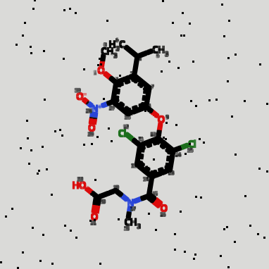 COc1c(C(C)C)cc(Oc2c(Cl)cc(C(=O)N(C)CC(=O)O)cc2Cl)cc1[N+](=O)[O-]